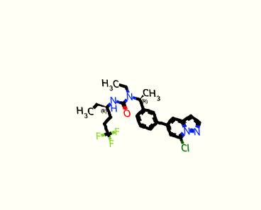 CC[C@H](CCC(F)(F)F)NC(=O)N(CC)[C@H](C)c1cccc(-c2cc(Cl)n3nccc3c2)c1